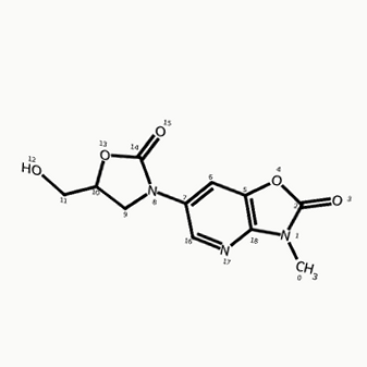 Cn1c(=O)oc2cc(N3CC(CO)OC3=O)cnc21